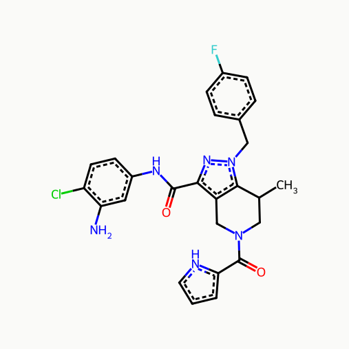 CC1CN(C(=O)c2ccc[nH]2)Cc2c(C(=O)Nc3ccc(Cl)c(N)c3)nn(Cc3ccc(F)cc3)c21